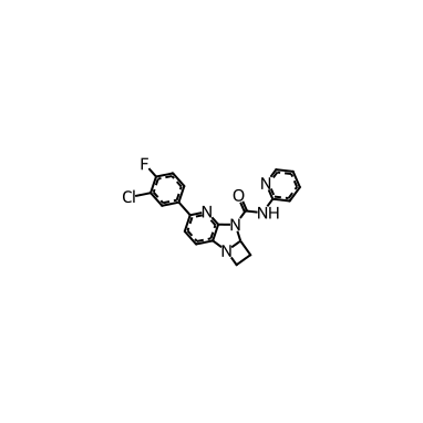 O=C(Nc1ccccn1)N1c2nc(-c3ccc(F)c(Cl)c3)ccc2N2CCC21